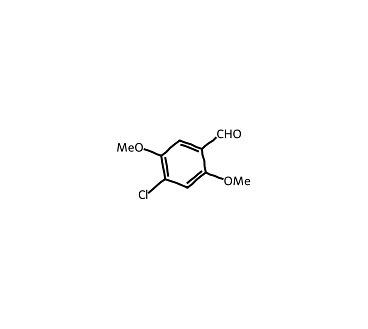 COc1cc(C=O)c(OC)cc1Cl